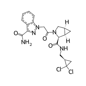 NC(=O)c1nn(CC(=O)N2C[C@H]3C[C@H]3[C@H]2C(=O)NC[C@H]2CC2(Cl)Cl)c2ccccc12